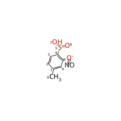 Cc1ccc([SH](=O)=O)cc1.O=[NH+][O-]